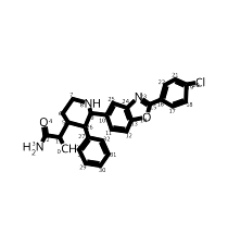 CC(C(N)=O)C1CCNC(c2ccc3oc(-c4ccc(Cl)cc4)nc3c2)C1c1ccccc1